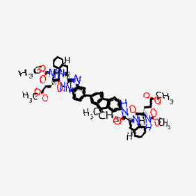 COC(=O)CC[C@H](NC(=O)OC)C(=O)N1[C@H](C(=O)Nc2ccc3c(c2)C(C)(C)c2cc(-c4ccc5[nH]c([C@@H]6C[C@@H]7CCCC[C@@H]7N6C(=O)[C@H](CCC(=O)OC)NC(=O)OC)nc5c4)ccc2-3)C[C@@H]2CCCC[C@@H]21